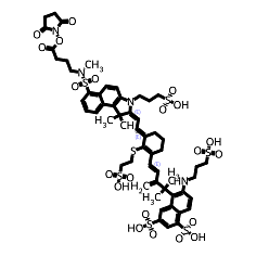 C=C(/C=C/C1=C(SCCS(=O)(=O)O)C(=C/C=C2/N(CCCS(=O)(=O)O)c3ccc4c(S(=O)(=O)N(C)CCCC(=O)ON5C(=O)CCC5=O)cccc4c3C2(C)C)/CCC1)C(C)(C)c1c(NCCCS(=O)(=O)O)ccc2c(S(=O)(=O)O)cc(S(=O)(=O)O)cc12